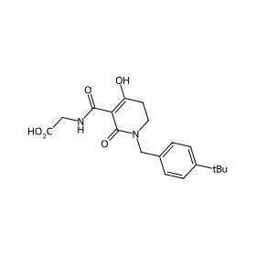 CC(C)(C)c1ccc(CN2CCC(O)=C(C(=O)NCC(=O)O)C2=O)cc1